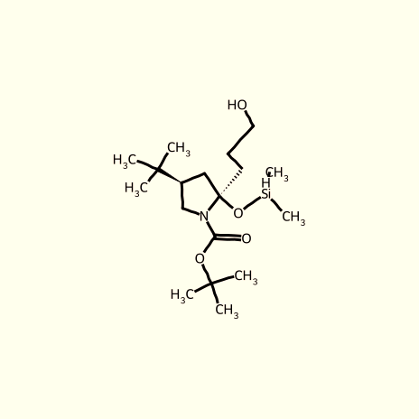 C[SiH](C)O[C@]1(CCCO)C[C@H](C(C)(C)C)CN1C(=O)OC(C)(C)C